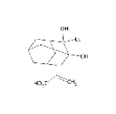 C=CC(=O)O.CCC1(O)C2CC3CC(C2)CC1(O)C3